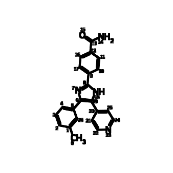 Cc1cccc(-c2nc(-c3ccc(C(N)=O)cc3)[nH]c2-c2ccncc2)c1